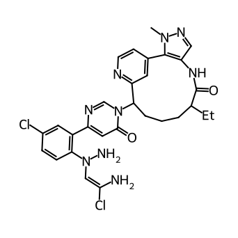 CCC1CCCC(n2cnc(-c3cc(Cl)ccc3N(N)/C=C(\N)Cl)cc2=O)c2cc(ccn2)-c2c(cnn2C)NC1=O